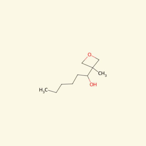 CCCCCC(O)C1(C)COC1